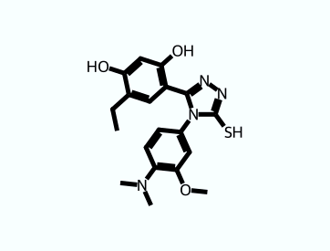 CCc1cc(-c2nnc(S)n2-c2ccc(N(C)C)c(OC)c2)c(O)cc1O